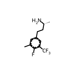 Cc1cc(CC[C@@H](C)N)cc(C(F)(F)F)c1F